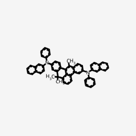 Cc1c2c3c(cccc3c3cc(N(c4ccccc4)c4ccc5ccccc5c4)ccc13)C(C)(C)c1cc(N(c3ccccc3)c3ccc4ccccc4c3)ccc1-2